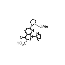 COCC1CCCN1c1cnc2c(=O)c(C(=O)O)cn(-c3nccs3)c2n1